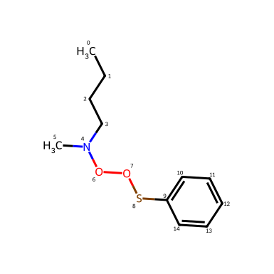 CCCCN(C)OOSc1ccccc1